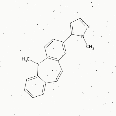 CN1c2ccccc2C=Cc2cc(-c3ccnn3C)ccc21